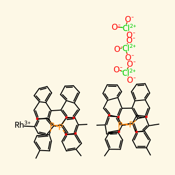 Cc1ccc(P(c2ccc(C)cc2)c2ccc3ccccc3c2-c2c(P(c3ccc(C)cc3)c3ccc(C)cc3)ccc3ccccc23)cc1.Cc1ccc(P(c2ccc(C)cc2)c2ccc3ccccc3c2-c2c(P(c3ccc(C)cc3)c3ccc(C)cc3)ccc3ccccc23)cc1.[O-][Cl+2]([O-])[O-].[O-][Cl+2]([O-])[O-].[O-][Cl+2]([O-])[O-].[Rh+3]